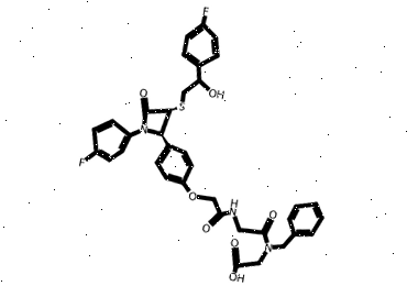 O=C(O)CN(Cc1ccccc1)C(=O)CNC(=O)COc1ccc([C@@H]2[C@@H](SCC(O)c3ccc(F)cc3)C(=O)N2c2ccc(F)cc2)cc1